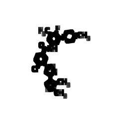 Cc1c(C2CN(c3cc(C(=O)Nc4cc(N5CCN(C)CC5)c(F)c(C(F)(F)F)c4)ccc3Cl)N=N2)cnn1C